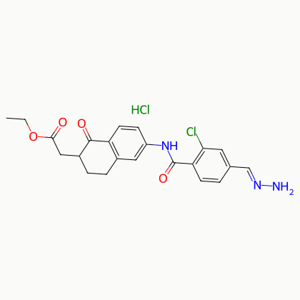 CCOC(=O)CC1CCc2cc(NC(=O)c3ccc(C=NN)cc3Cl)ccc2C1=O.Cl